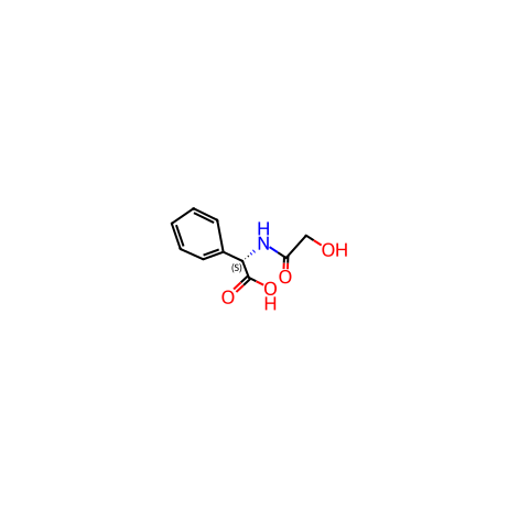 O=C(CO)N[C@H](C(=O)O)c1ccccc1